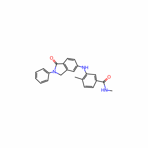 CNC(=O)c1ccc(C)c(Nc2ccc3c(c2)CN(c2ccccc2)C3=O)c1